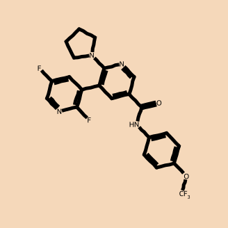 O=C(Nc1ccc(OC(F)(F)F)cc1)c1cnc(N2CCCC2)c(-c2cc(F)cnc2F)c1